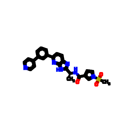 C[C@@H](NC(=O)c1ccn(S(C)(=O)=O)c1)c1nc2ccc(-c3cccc(-c4ccncc4)c3)nc2[nH]1